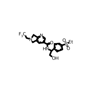 CCS(=O)(=O)c1ccc(C(CO)NC(=O)c2cnc3c(c2)CN(CC(F)(F)F)C3)cc1